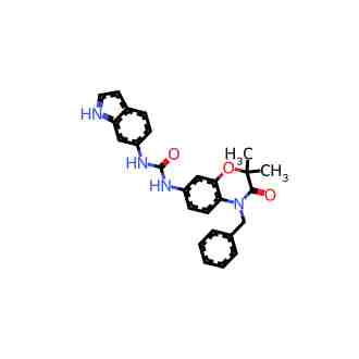 CC1(C)Oc2cc(NC(=O)Nc3ccc4cc[nH]c4c3)ccc2N(Cc2ccccc2)C1=O